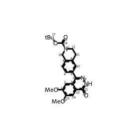 COc1cc2c(-c3ccc4c(c3)CCN(C(=O)OC(C)(C)C)C4)n[nH]c(=O)c2cc1OC